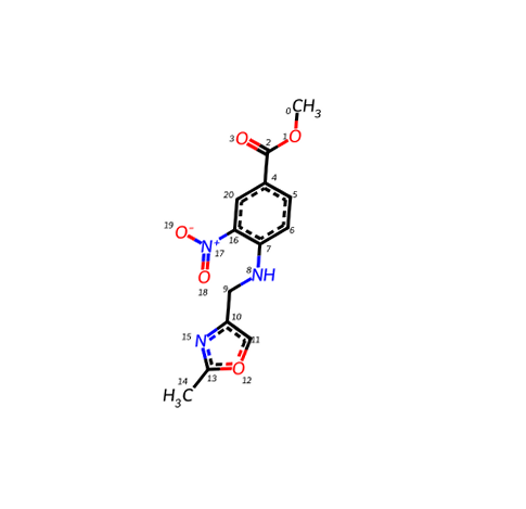 COC(=O)c1ccc(NCc2coc(C)n2)c([N+](=O)[O-])c1